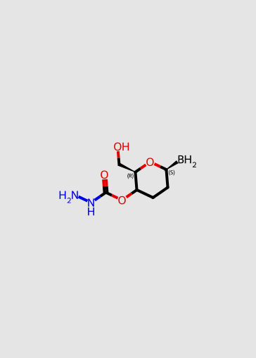 B[C@H]1CCC(OC(=O)NN)[C@@H](CO)O1